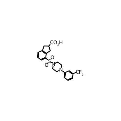 O=C(O)C1Cc2cccc(S(=O)(=O)N3CCN(c4cccc(C(F)(F)F)c4)CC3)c2C1